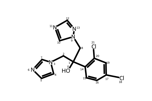 OC(Cn1ccnc1)(Cn1cncn1)c1ccc(Cl)cc1Cl